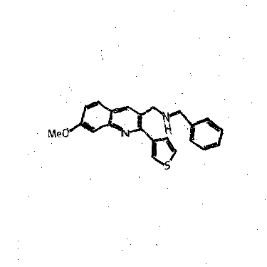 COc1ccc2cc(CNCc3ccccc3)c(-c3ccsc3)nc2c1